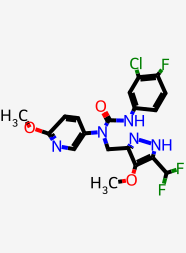 COc1ccc(N(Cc2n[nH]c(C(F)F)c2OC)C(=O)Nc2ccc(F)c(Cl)c2)cn1